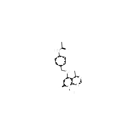 CC(=O)Nc1ccc(CNc2cc(=O)n(O)c3ncnc(C)c23)cc1